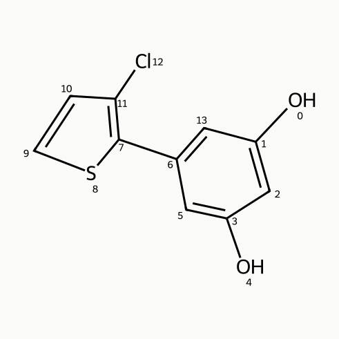 Oc1cc(O)cc(-c2sccc2Cl)c1